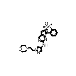 CN(c1ccccc1-c1ccc2cnc(Nc3cnn(CCN4CCOCC4)c3)nn12)S(C)(=O)=O